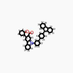 O=c1oc2ccccc2c2cc3c4ccccc4n(-c4cccc(-c5ccc(C6c7ccccc7-c7ccccc76)cc5)c4)c3cc12